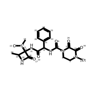 CCN1CCN(C(=O)NC(C(=O)NC2([S+](C)[O-])C(=O)NC2C)c2ccccc2)C(=O)C1=O